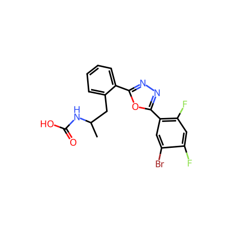 CC(Cc1ccccc1-c1nnc(-c2cc(Br)c(F)cc2F)o1)NC(=O)O